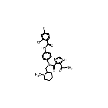 CN1CCCCC1CN(C(=O)c1nc[nH]c1C(N)=O)c1ccc(NC(=O)c2ccc(F)cc2Cl)cc1